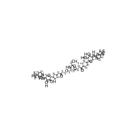 CCC(=O)NC(COCCC(=O)CC1CCC([C@H]2OC[C@H](Nc3nccc(C(F)(F)F)n3)[C@@H](O)[C@H]2O)C1)COCCC(=O)C1CCC([C@H]2OC[C@H](Nc3nccc(C(F)(F)F)n3)[C@@H](O)[C@H]2O)CC1